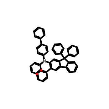 c1ccc(-c2ccc(N(c3ccccc3)c3cc4c(cc3-c3ccccc3)-c3ccccc3C4(c3ccccc3)c3ccccc3)cc2)cc1